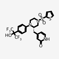 O=c1cc(C[C@H]2CN(S(=O)(=O)c3cccs3)CCN2c2ccc(C(O)(C(F)(F)F)C(F)(F)F)cc2)cc[nH]1